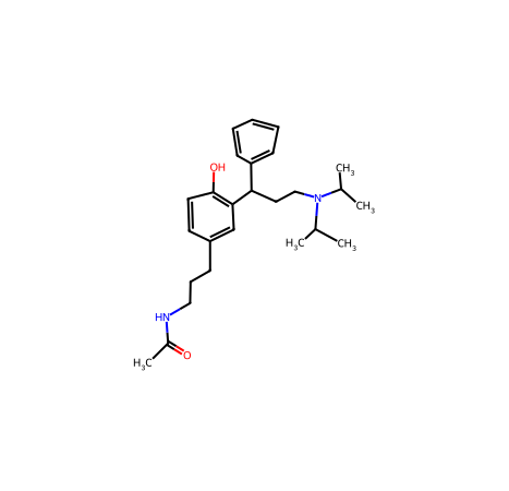 CC(=O)NCCCc1ccc(O)c(C(CCN(C(C)C)C(C)C)c2ccccc2)c1